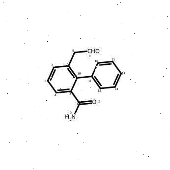 NC(=O)c1cccc(CC=O)c1-c1ccccc1